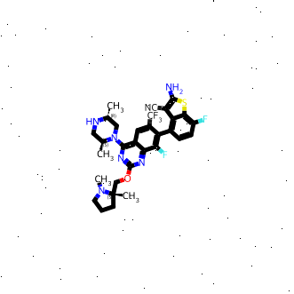 C[C@@H]1CN(c2nc(OC[C@]3(C)CCCN3C)nc3c(F)c(-c4ccc(F)c5sc(N)c(C#N)c45)c(C(F)(F)F)cc23)[C@@H](C)CN1